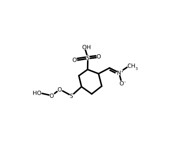 C[N+]([O-])=CC1CCC(SOOO)CC1S(=O)(=O)O